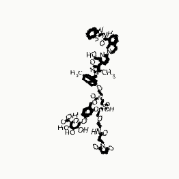 Cc1c(-c2ccc(N3CCc4cccc(C(=O)Nc5nc6ccccc6s5)c4C3)nc2C(=O)O)cnn1CC12CC3CC(C)(C1)CC(OCCN(CCS(=O)(=O)O)C(=O)OCc1ccc(O[C@@H]4O[C@H](C(=O)O)[C@@H](O)[C@H](O)[C@H]4O)cc1OCCOCCNC(=O)CCN1C(=O)C=CC1=O)(C3)C2